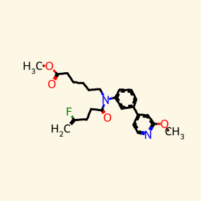 C=C(F)CCC(=O)N(CCCCCC(=O)OC)c1cccc(-c2ccnc(OC)c2)c1